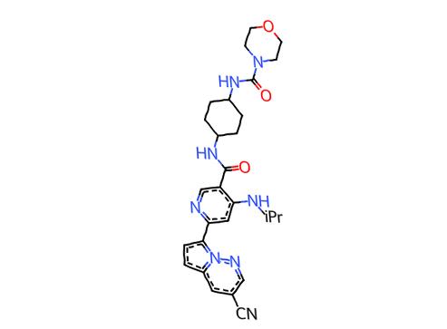 CC(C)Nc1cc(-c2ccc3cc(C#N)cnn23)ncc1C(=O)NC1CCC(NC(=O)N2CCOCC2)CC1